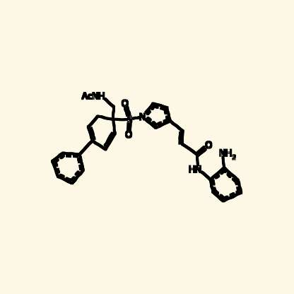 CC(=O)NCC1(S(=O)(=O)n2ccc(C=CC(=O)Nc3ccccc3N)c2)C=CC(c2ccccc2)=CC1